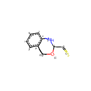 S=CC1Nc2ccccc2CO1